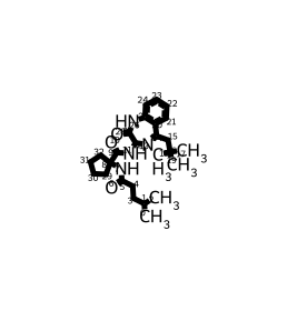 CC(C)CCC(=O)NC1(C(=O)NC2N=C(CC(C)(C)C)c3ccccc3NC2=O)CCCC1